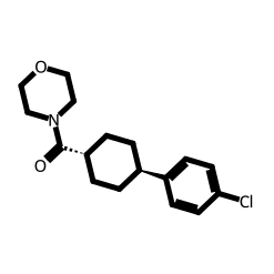 O=C([C@H]1CC[C@H](c2ccc(Cl)cc2)CC1)N1CCOCC1